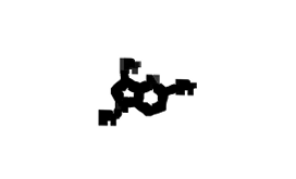 CC(C)c1ccc2c(n1)c(C(C)C)cn2C(C)C